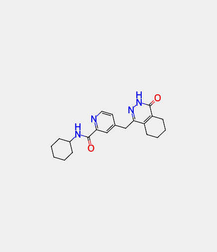 O=C(NC1CCCCC1)c1cc(Cc2n[nH]c(=O)c3c2CCCC3)ccn1